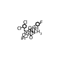 CC(C)C[C@H]1C(=O)N(Cc2ccc(Cl)cc2Cl)C[C@H]2N1C(=O)CN(C)N2C(=O)NCc1ccc(F)cc1